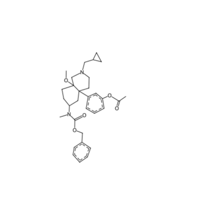 COC12CCC(N(C)C(=O)OCc3ccccc3)CC1(c1cccc(OC(C)=O)c1)CCN(CC1CC1)C2